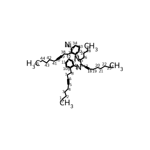 CCCCCC#CCCc1ccccc1N=C(C#CCCCCCC)C(CCCC)=Nc1ccccc1CCC#CCCCCC.[Ni]